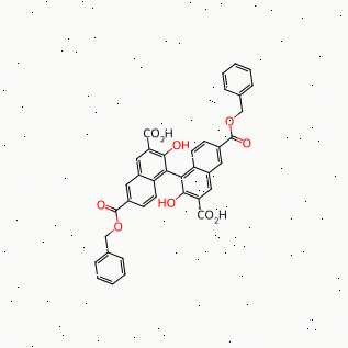 O=C(OCc1ccccc1)c1ccc2c(-c3c(O)c(C(=O)O)cc4cc(C(=O)OCc5ccccc5)ccc34)c(O)c(C(=O)O)cc2c1